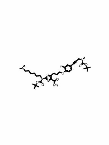 CN(C)CCCCCCN(C(=O)OC(C)(C)C)c1nc(C(=O)O)c(CCCOc2ccc(C#CCN(C)C(=O)OC(C)(C)C)cc2F)s1